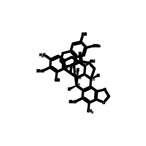 COc1cc2c(cc1O)CCN[C@@]21CS[C@@H]2c3c(OC)c(C)c4c(c3[C@H](COC1=O)N1[C@@H]2C2CC(Cc3cc(C)c(OC)c(O)c32)[C@@H]1O)OCO4